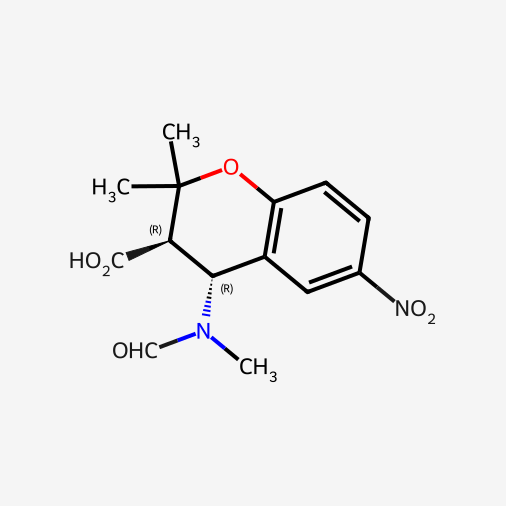 CN(C=O)[C@H]1c2cc([N+](=O)[O-])ccc2OC(C)(C)[C@@H]1C(=O)O